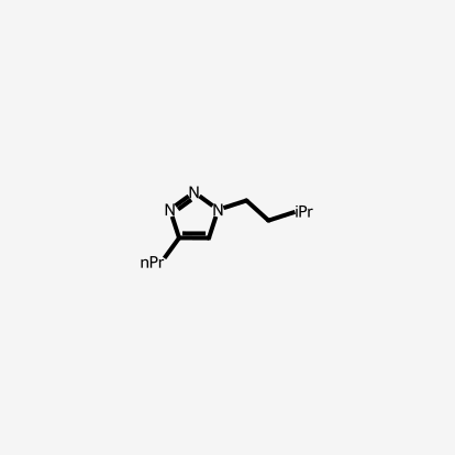 CCCc1cn(CCC(C)C)nn1